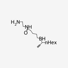 C#CC(BCCCCC(=O)NCCN)CCCCCC